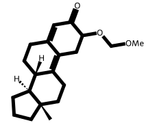 COCOC1CC2=C3CC[C@]4(C)CCC[C@H]4[C@@H]3CCC2=CC1=O